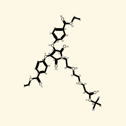 CCOC(=O)c1ccc(OC2=C(Oc3ccc(C(=O)OCC)cc3)C(=O)N(CCOCCOCCC(=O)OC(C)(C)C)C2=O)cc1